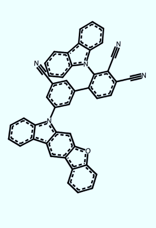 N#Cc1cc(-c2ccc(C#N)c(C#N)c2-n2c3ccccc3c3ccccc32)cc(-n2c3ccccc3c3cc4c(cc32)oc2ccccc24)c1